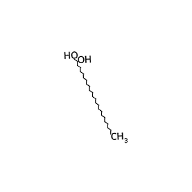 CCCCCCCCCCCCCCCCCCCCCCCCC(O)CO